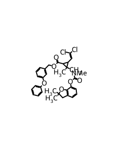 CC1(C)C(C=C(Cl)Cl)C1C(=O)OCc1cccc(Oc2ccccc2)c1.CNC(=O)Oc1cccc2c1OC(C)(C)C2